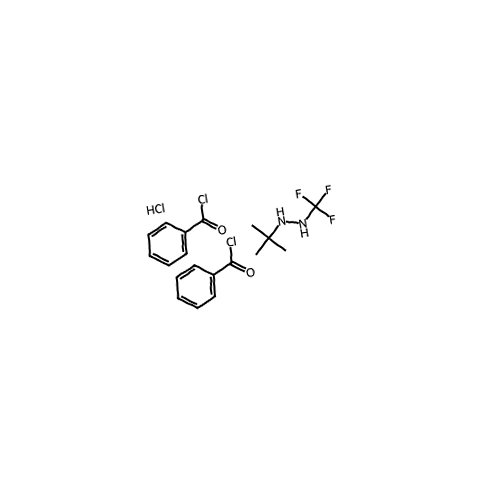 CC(C)(C)NNC(F)(F)F.Cl.O=C(Cl)c1ccccc1.O=C(Cl)c1ccccc1